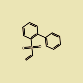 C=CS(=O)(=O)c1ccc[c]c1-c1ccccc1